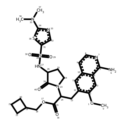 COc1cc2c(N)nccc2cc1CC(C(=O)OCC1CCC1)N1CCC(NS(=O)(=O)c2cnc(N(C)C)s2)C1=O